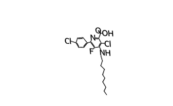 CCCCCCCCCCNc1c(F)c(-c2ccc(Cl)cc2)nc(C(=O)O)c1Cl